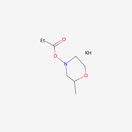 CCC(=O)ON1CCOC(C)C1.[KH]